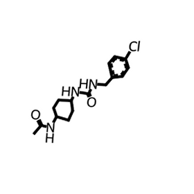 CC(=O)NC1CCC(NC(=O)NCc2ccc(Cl)cc2)CC1